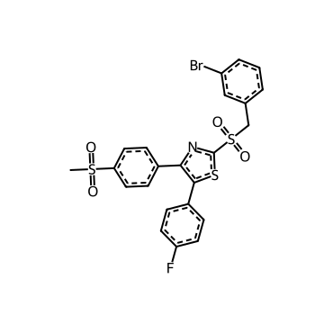 CS(=O)(=O)c1ccc(-c2nc(S(=O)(=O)Cc3cccc(Br)c3)sc2-c2ccc(F)cc2)cc1